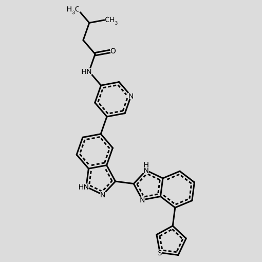 CC(C)CC(=O)Nc1cncc(-c2ccc3[nH]nc(-c4nc5c(-c6ccsc6)cccc5[nH]4)c3c2)c1